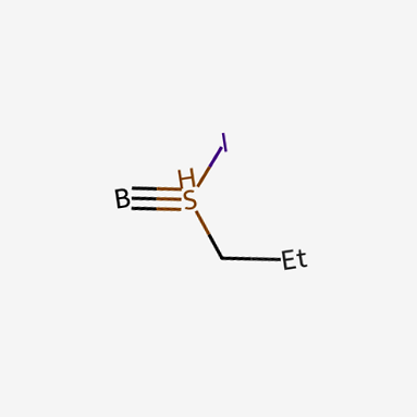 B#[SH](I)CCC